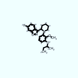 CCC(C)Oc1[c]ccc(N2CCCCC2c2noc3cc(F)ccc23)c1OC